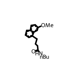 CCCCNC(=O)CCCc1cccc2ccc(OC)cc12